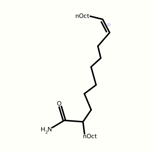 CCCCCCCC/C=C\CCCCCCC(CCCCCCCC)C(N)=O